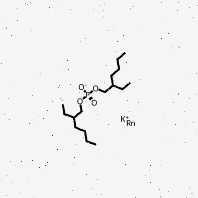 CCCCC(CC)COP(=O)([O-])OCC(CC)CCCC.[K+].[Rn]